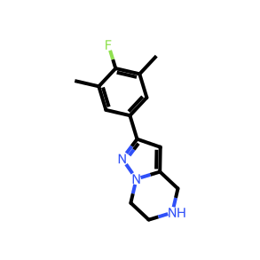 Cc1cc(-c2cc3n(n2)CCNC3)cc(C)c1F